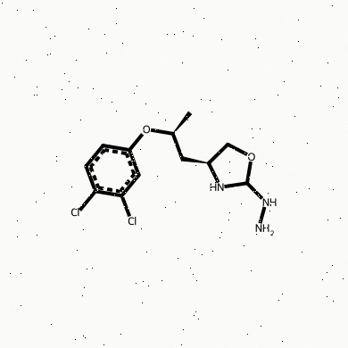 C[C@@H](C[C@H]1COC(NN)N1)Oc1ccc(Cl)c(Cl)c1